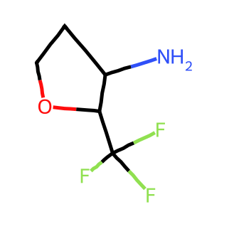 NC1CCOC1C(F)(F)F